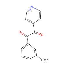 COc1cccc(C(=O)C(=O)c2ccncc2)c1